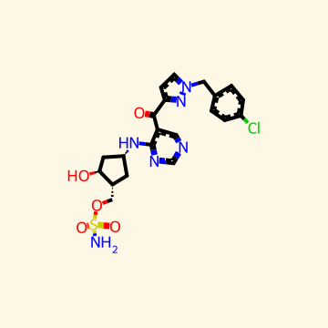 NS(=O)(=O)OC[C@H]1C[C@@H](Nc2ncncc2C(=O)c2ccn(Cc3ccc(Cl)cc3)n2)C[C@@H]1O